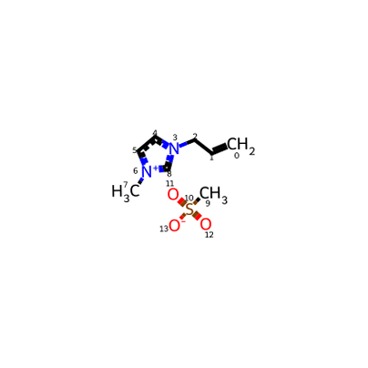 C=CCn1cc[n+](C)c1.CS(=O)(=O)[O-]